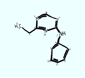 CCc1ncnc(Nc2ccccc2)n1